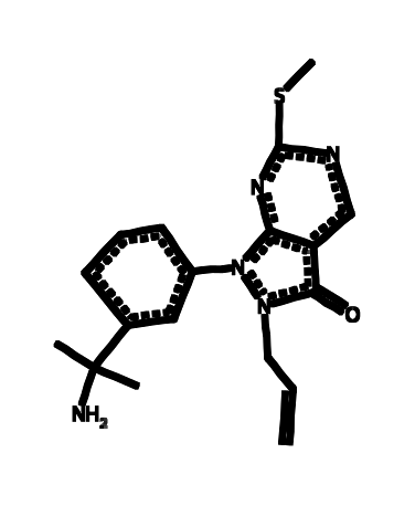 C=CCn1c(=O)c2cnc(SC)nc2n1-c1cccc(C(C)(C)N)c1